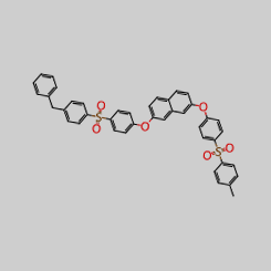 Cc1ccc(S(=O)(=O)c2ccc(Oc3ccc4ccc(Oc5ccc(S(=O)(=O)c6ccc(Cc7ccccc7)cc6)cc5)cc4c3)cc2)cc1